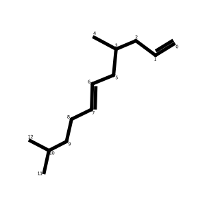 C=CCC(C)CC=CCCC(C)C